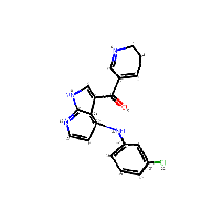 O=C(C1=CCCN=C1)c1c[nH]c2nccc(Nc3cccc(Cl)c3)c12